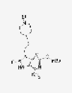 CCCCOc1nc(N)c2[nH]c(=O)n(CCC3CCN(CC)CC3)c2n1